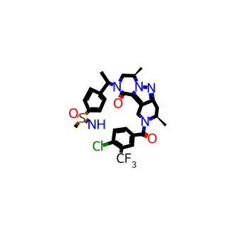 CC(c1ccc(S(C)(=N)=O)cc1)N1C[C@@H](C)n2nc3c(c2C1=O)CN(C(=O)c1ccc(Cl)c(C(F)(F)F)c1)[C@H](C)C3